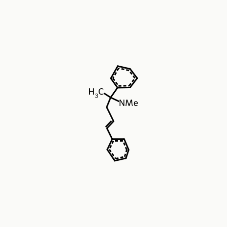 CNC(C)(CC=Cc1ccccc1)c1ccccc1